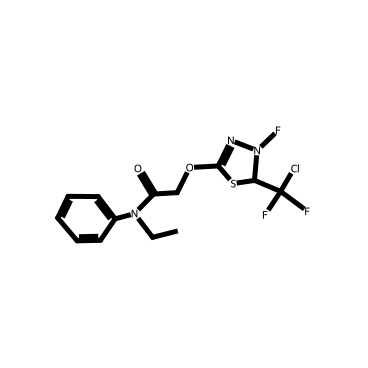 CCN(C(=O)COC1=NN(F)C(C(F)(F)Cl)S1)c1ccccc1